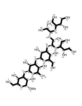 CO[C@@H]1OC(CO)[C@@H](O)C(O[C@@H]2OC(C)[C@H](O)C(O[C@@H]3OC(CO)[C@@H](O)C(O[C@H](OC(CO)[C@@H](O)CO)[C@@H](C)O[C@@H](OC(CO)[C@@H](O)CO)[C@@H](C)O)[C@H]3O)[C@@H]2O)[C@@H]1O